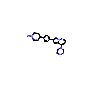 CCC(C)N1CCC(c2ccc(-c3cc4c(N5CCNCC5)ccnn4c3)cc2)CC1